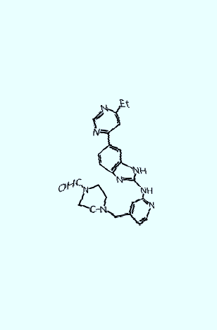 CCc1cc(-c2ccc3nc(Nc4cc(CN5CCN(C=O)CC5)ccn4)[nH]c3c2)ncn1